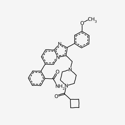 COc1cccc(-c2nc3ccc(-c4ccccc4C(N)=O)cn3c2CN2CCN(C(=O)C3CCC3)CC2)c1